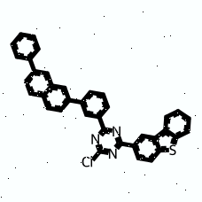 Clc1nc(-c2cccc(-c3ccc4ccc(-c5ccccc5)cc4c3)c2)nc(-c2ccc3sc4ccccc4c3c2)n1